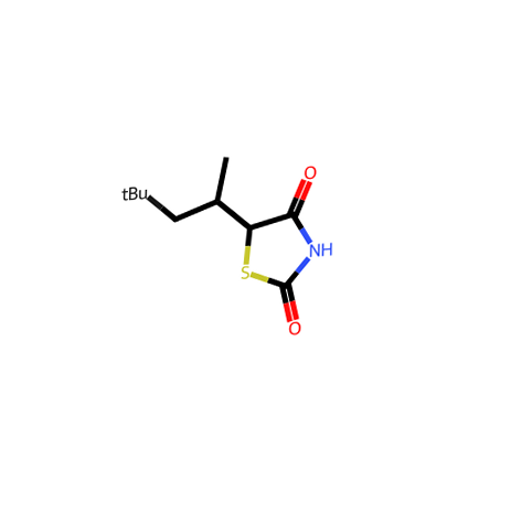 CC(CC(C)(C)C)C1SC(=O)NC1=O